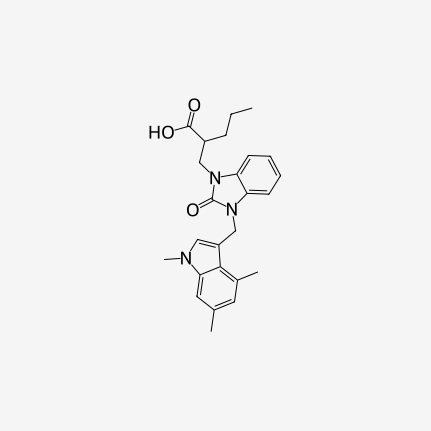 CCCC(Cn1c(=O)n(Cc2cn(C)c3cc(C)cc(C)c23)c2ccccc21)C(=O)O